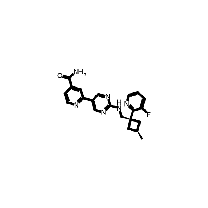 C[C@H]1C[C@](CNc2ncc(-c3cc(C(N)=O)ccn3)cn2)(c2ncccc2F)C1